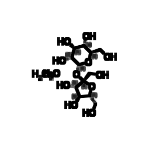 O.OC[C@H]1O[C@@](CO)(O[C@H]2O[C@H](CO)[C@@H](O)[C@H](O)[C@H]2O)[C@@H](O)[C@@H]1O.[CaH2]